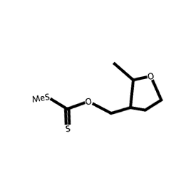 CSC(=S)OCC1CCOC1C